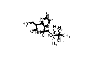 CCC1C(=O)NC(C)(CO[Si](C)(C)C(C)(C)C)c2ncc(Cl)nc21